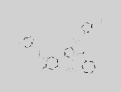 COc1cc(=O)n(CCc2cocn2)cc1-c1cc(NCc2ccc(Cl)s2)n(C(=O)c2ccccc2)n1